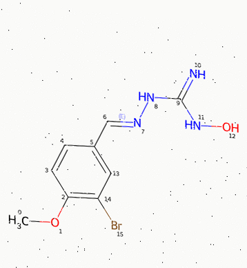 COc1ccc(/C=N/NC(=N)NO)cc1Br